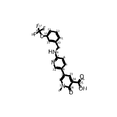 Cn1cc(-c2ccc(NCc3cccc(OC(F)(F)F)c3)nc2)cc(C(=O)O)c1=O